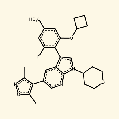 Cc1noc(C)c1-c1cnc2c(c1)c(-c1c(F)cc(C(=O)O)cc1OC1CCC1)cn2C1CCOCC1